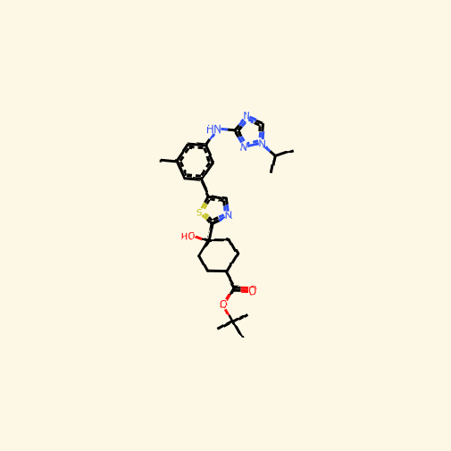 Cc1cc(Nc2ncn(C(C)C)n2)cc(-c2cnc(C3(O)CCC(C(=O)OC(C)(C)C)CC3)s2)c1